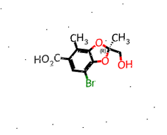 Cc1c(C(=O)O)cc(Br)c2c1O[C@@](C)(CO)O2